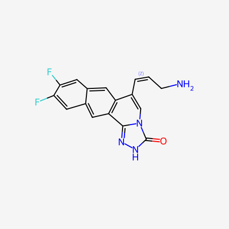 NC/C=C\c1cn2c(=O)[nH]nc2c2cc3cc(F)c(F)cc3cc12